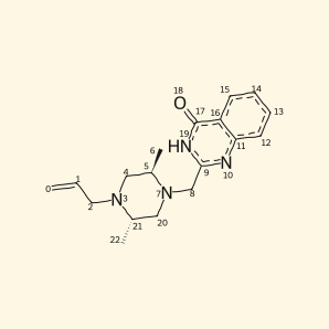 C=CCN1C[C@@H](C)N(Cc2nc3ccccc3c(=O)[nH]2)C[C@@H]1C